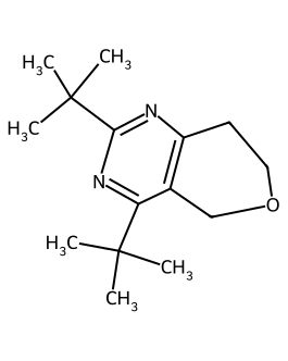 CC(C)(C)c1nc2c(c(C(C)(C)C)n1)COCC2